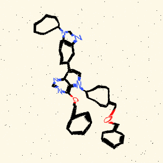 c1ccc(COCC2CCC(n3cc(-c4ccc5c(c4)ncn5C4CCCCC4)c4ncnc(OCc5ccccc5)c43)CC2)cc1